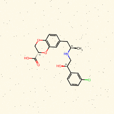 C[C@H](Cc1ccc2c(c1)O[C@H](C(=O)O)CO2)NC[C@H](O)c1cccc(Cl)c1